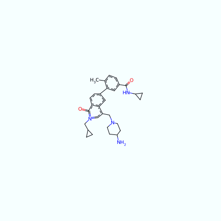 Cc1ccc(C(=O)NC2CC2)cc1-c1ccc2c(=O)n(CC3CC3)cc(CN3CCC(N)CC3)c2c1